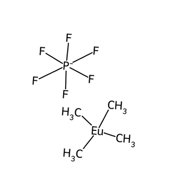 F[P-](F)(F)(F)(F)F.[CH3][Eu]([CH3])([CH3])[CH3]